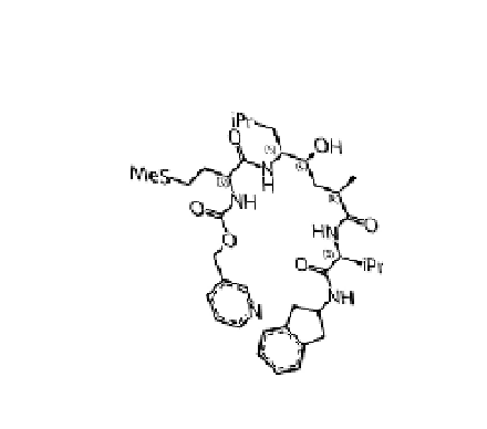 CSCC[C@H](NC(=O)OCc1cccnc1)C(=O)N[C@@H](CC(C)C)[C@@H](O)C[C@@H](C)C(=O)N[C@H](C(=O)NC1Cc2ccccc2C1)C(C)C